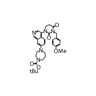 COc1ccc(CN2C(=O)CCN(c3cncc4cc(N5CCCN(C(=O)OC(C)(C)C)CC5)ccc34)C2=O)cc1